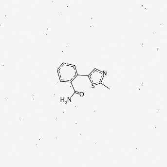 Cc1ncc(-c2ccccc2C(N)=O)s1